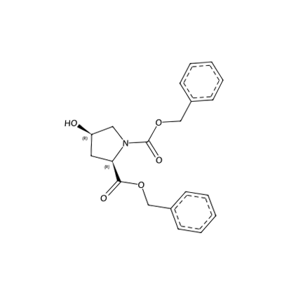 O=C(OCc1ccccc1)[C@H]1C[C@@H](O)CN1C(=O)OCc1ccccc1